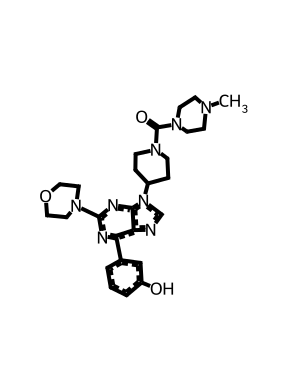 CN1CCN(C(=O)N2CCC(n3cnc4c(-c5cccc(O)c5)nc(N5CCOCC5)nc43)CC2)CC1